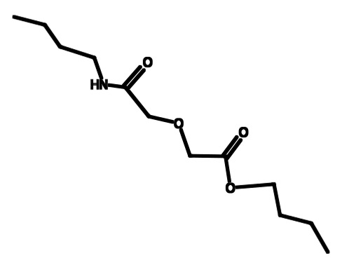 CCCCNC(=O)COCC(=O)OCCCC